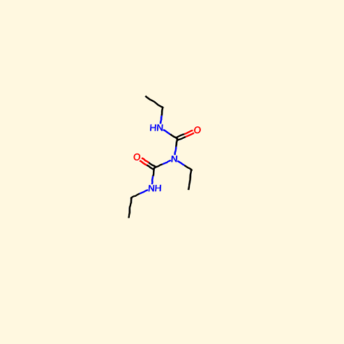 CCNC(=O)N(CC)C(=O)NCC